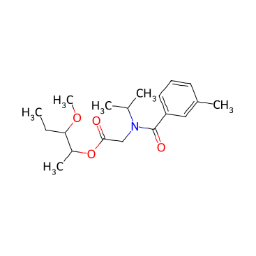 CCC(OC)C(C)OC(=O)CN(C(=O)c1cccc(C)c1)C(C)C